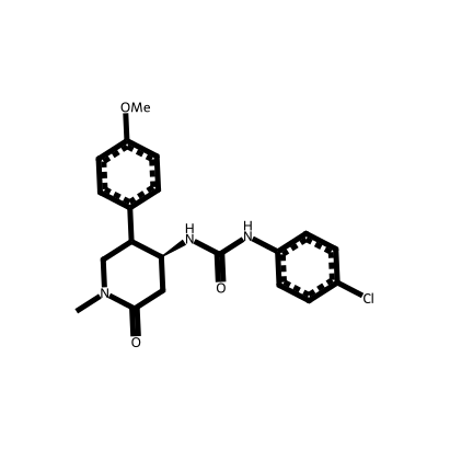 COc1ccc(C2CN(C)C(=O)C[C@@H]2NC(=O)Nc2ccc(Cl)cc2)cc1